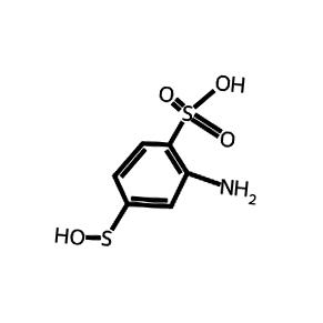 Nc1cc(SO)ccc1S(=O)(=O)O